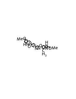 COCc1nc2c(C)cc(Oc3cc(N4CCC(N5CCc6cc(OC)ccc6NC5=O)CC4)ncn3)cc2[nH]1